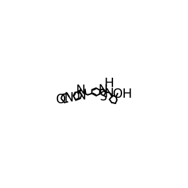 OC1CCCCC1Nc1nc2ccc(Cc3cnc4cc(N5CCOCC5)ccn34)cc2s1